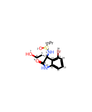 CCC[S@+]([O-])N[C@]1(CCO)C(=O)Nc2cccc(Br)c21